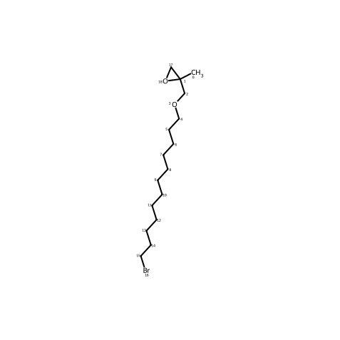 CC1(COCCCCCCCCCCCCBr)CO1